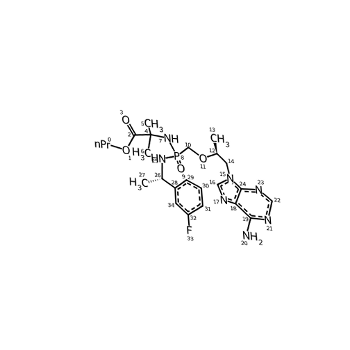 CCCOC(=O)C(C)(C)NP(=O)(CO[C@@H](C)Cn1cnc2c(N)ncnc21)N[C@@H](C)c1cccc(F)c1